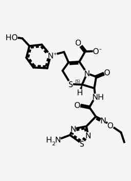 CCON=C(C(=O)NC1C(=O)N2C(C(=O)[O-])=C(C[n+]3cccc(CO)c3)CS[C@@H]12)c1nsc(N)n1